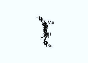 COc1c(OCC2CCNCC2)ccc2c(Oc3ccc(NC(=O)C(=O)NCCc4ccc(C(C)(C)C)cc4)cc3F)ccnc12